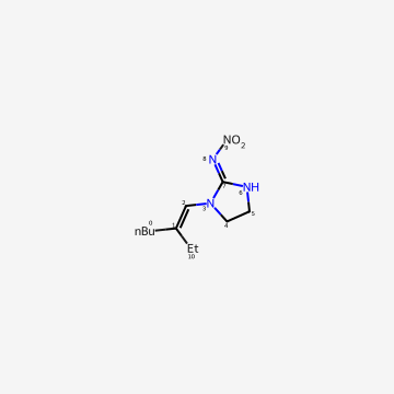 CCCC/C(=C/N1CCN/C1=N\[N+](=O)[O-])CC